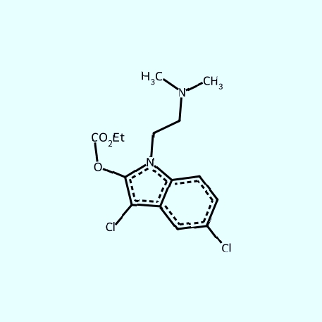 CCOC(=O)Oc1c(Cl)c2cc(Cl)ccc2n1CCN(C)C